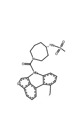 CS(=O)(=O)N[C@H]1CCCN(C(=O)Nc2csc3cccc(-c4c(F)cccc4F)c23)CC1